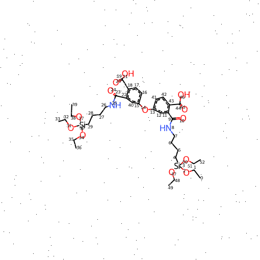 CCO[Si](CCCCNC(=O)c1cc(Oc2ccc(C(=O)O)c(C(=O)NCCCC[Si](OCC)(OCC)OCC)c2)ccc1C(=O)O)(OCC)OCC